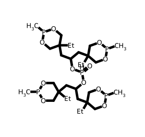 CCC1(CC(CC2(CC)COP(C)OC2)O[PH](=O)OC(CC2(CC)COP(C)OC2)CC2(CC)COP(C)OC2)COP(C)OC1